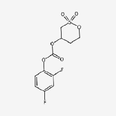 O=C(Oc1ccc(F)cc1F)OC1CCOS(=O)(=O)C1